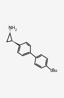 CC(C)(C)c1ccc(-c2ccc([C@H]3C[C@@H]3N)cc2)cc1